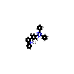 CCn1c2ccccc2c2cccc(-c3cc(C)c(-c4nc(-c5ccccc5)nc(-c5ccccc5)n4)cc3C)c21